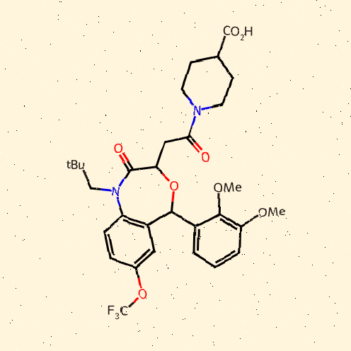 COc1cccc(C2OC(CC(=O)N3CCC(C(=O)O)CC3)C(=O)N(CC(C)(C)C)c3ccc(OC(F)(F)F)cc32)c1OC